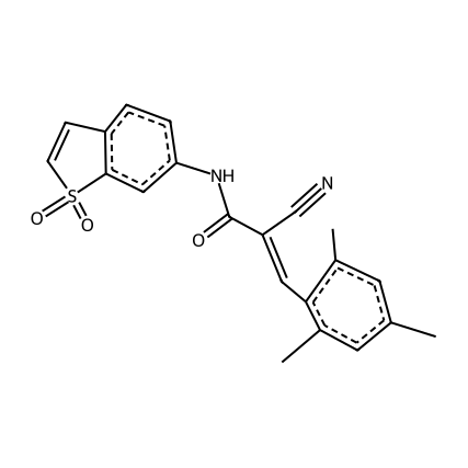 Cc1cc(C)c(/C=C(\C#N)C(=O)Nc2ccc3c(c2)S(=O)(=O)C=C3)c(C)c1